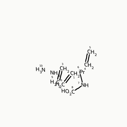 C=C.C=C.C=C.CC(C)NC(=O)O.N.N